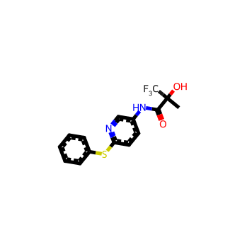 CC(O)(C(=O)Nc1ccc(Sc2ccccc2)nc1)C(F)(F)F